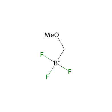 COC[B-](F)(F)F